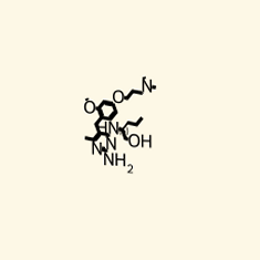 CCC[C@@H](CO)Nc1nc(N)nc(C)c1Cc1ccc(OCCCN(C)C)cc1OC